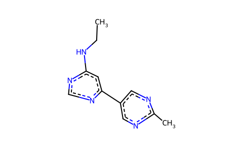 CCNc1cc(-c2cnc(C)nc2)ncn1